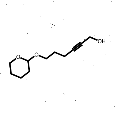 OCC#CCCCOC1CCCCO1